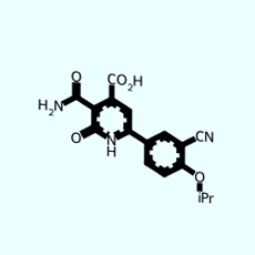 CC(C)Oc1ccc(-c2cc(C(=O)O)c(C(N)=O)c(=O)[nH]2)cc1C#N